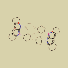 C[C@@]12C=CC(n3c4ccccc4c4ccccc43)=CC1C1(c3cc(-n4c5ccccc5c5ccccc54)ccc3-c3ccc(-n4c5ccccc5c5ccccc54)cc31)c1cc(-n3c4ccccc4c4ccccc43)ccc12